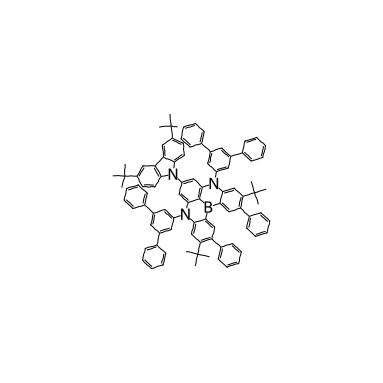 CC(C)(C)c1ccc2c(c1)c1cc(C(C)(C)C)ccc1n2-c1cc2c3c(c1)N(c1cc(-c4ccccc4)cc(-c4ccccc4)c1)c1cc(C(C)(C)C)c(-c4ccccc4)cc1B3c1cc(-c3ccccc3)c(C(C)(C)C)cc1N2c1cc(-c2ccccc2)cc(-c2ccccc2)c1